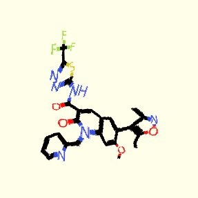 COc1cc2c(cc1-c1c(C)noc1C)cc(C(=O)Nc1nnc(C(F)(F)F)s1)c(=O)n2Cc1ccccn1